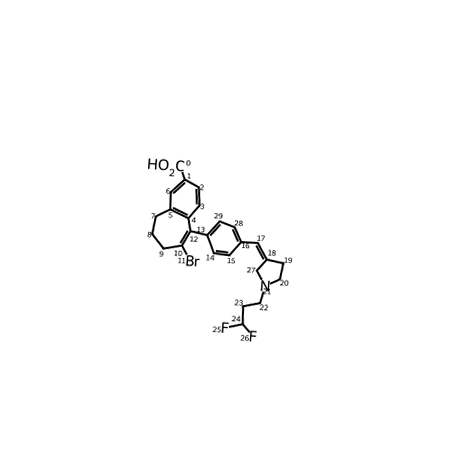 O=C(O)c1ccc2c(c1)CCCC(Br)=C2c1ccc(/C=C2/CCN(CCC(F)F)C2)cc1